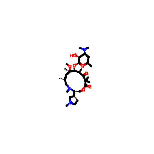 CO[C@]1(C)C[C@@H](C)CN(C)[C@@H]([C@@H]2CCN(C)C2)COC(=O)C(C)(C)C(=O)[C@H](C)[C@H]1O[C@@H]1O[C@H](C)C[C@H](N(C)C)[C@H]1O